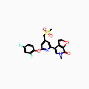 Cn1cc(-c2cc(CS(C)(=O)=O)cc(Oc3ccc(F)cc3F)n2)c2ccoc2c1=O